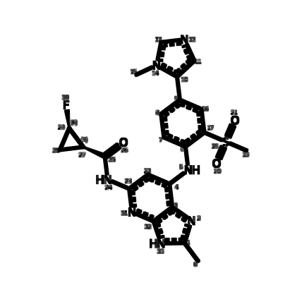 Cc1nc2c(Nc3ccc(-c4cncn4C)cc3S(C)(=O)=O)cc(NC(=O)[C@H]3C[C@H]3F)nc2[nH]1